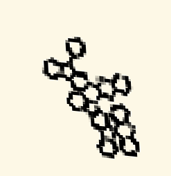 C1=Cc2c(c3cc4c(cc3n2C2=Nc3ccccc3NC2C2C=c3c(c5ccccc5n3-c3ccccc3)=CC2)C2(c3ccccc3Oc3ccccc32)c2ccccc2-4)CC1